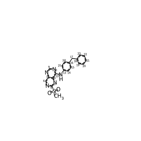 CS(=O)(=O)c1ncc2ncnc(Nc3ccc(Cc4ccccc4)cc3)c2n1